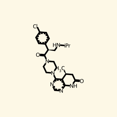 CC(C)NC[C@@H](C(=O)N1CCN(c2ncnc3c2[C@@H](C)CC(=O)N3)CC1)c1ccc(Cl)cc1